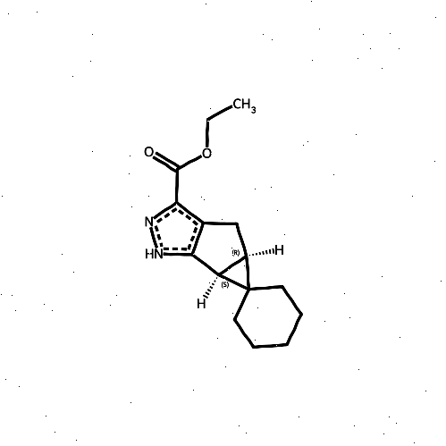 CCOC(=O)c1n[nH]c2c1C[C@@H]1[C@H]2C12CCCCC2